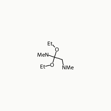 CCOC(CNC)(NC)OCC